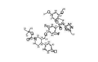 COc1ccc(CN(c2nnn(C)n2)S(=O)(=O)c2cc(F)c(OC[C@@H]3CN(C(=O)OC(C)(C)C)CCC3c3ccc(Cl)cc3)cc2F)c(OC)c1